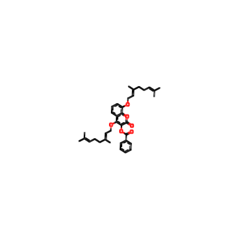 CC(C)=CCC/C(C)=C/COc1c(OC(=O)c2ccccc2)c(=O)oc2c(OC/C=C(\C)CCC=C(C)C)cccc12